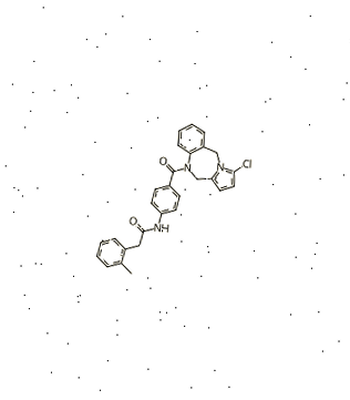 Cc1ccccc1CC(=O)Nc1ccc(C(=O)N2Cc3ccc(Cl)n3Cc3ccccc32)cc1